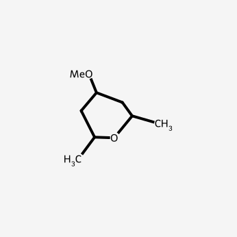 COC1CC(C)OC(C)C1